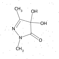 CC1=NN(C)C(=O)C1(O)O